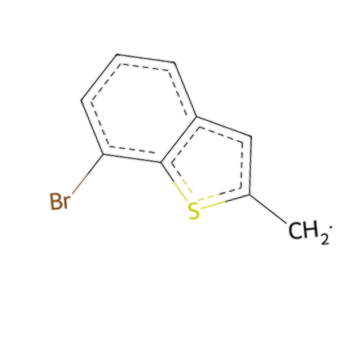 [CH2]c1cc2cccc(Br)c2s1